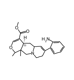 COC(=O)C1=COC(C)C2(C)CN3CCC(c4ccccc4N)=CC3C[C@H]12